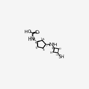 O=C(O)N[C@H]1CC[C@H](NC2CC(S)C2)C1